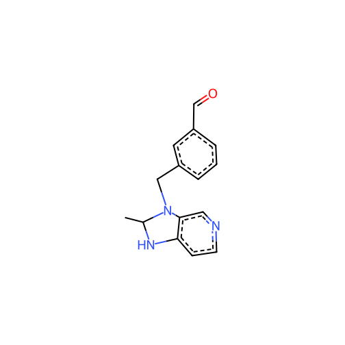 CC1Nc2ccncc2N1Cc1cccc(C=O)c1